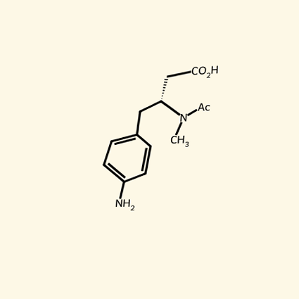 CC(=O)N(C)[C@@H](CC(=O)O)Cc1ccc(N)cc1